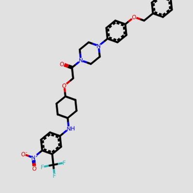 O=C(COC1CCC(Nc2ccc([N+](=O)[O-])c(C(F)(F)F)c2)CC1)N1CCN(c2ccc(OCc3ccccc3)cc2)CC1